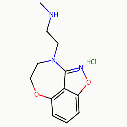 CNCCN1CCOc2cccc3onc1c23.Cl